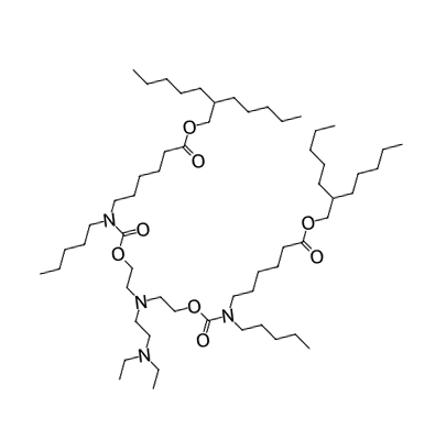 CCCCCC(CCCCC)COC(=O)CCCCCN(CCCCC)C(=O)OCCN(CCOC(=O)N(CCCCC)CCCCCC(=O)OCC(CCCCC)CCCCC)CCN(CC)CC